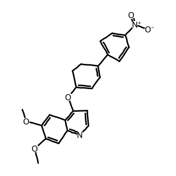 COc1cc2nccc(OC3=CC=C(c4ccc([N+](=O)[O-])cc4)CC3)c2cc1OC